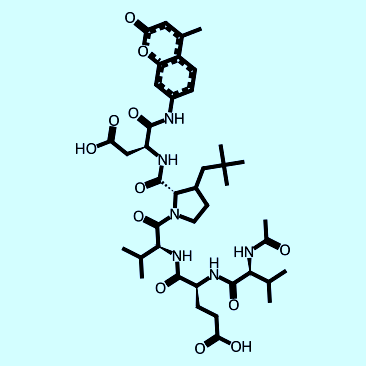 CC(=O)N[C@H](C(=O)N[C@@H](CCC(=O)O)C(=O)N[C@H](C(=O)N1CCC(CC(C)(C)C)[C@H]1C(=O)N[C@@H](CC(=O)O)C(=O)Nc1ccc2c(C)cc(=O)oc2c1)C(C)C)C(C)C